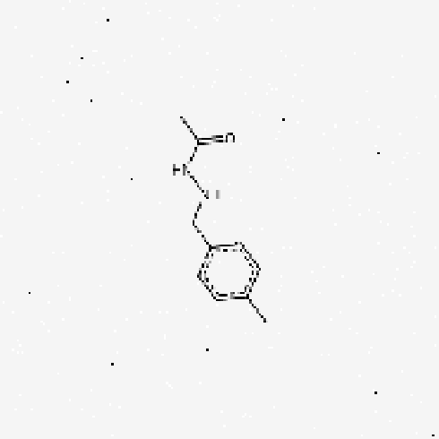 CC(=O)NNCc1ccc(C)cc1